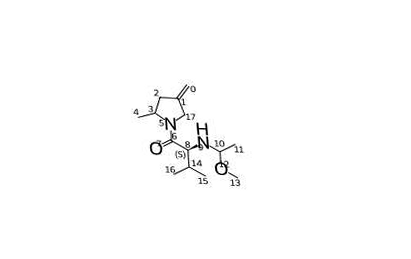 C=C1CC(C)N(C(=O)[C@@H](NC(C)OC)C(C)C)C1